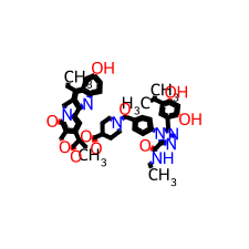 CCNC(=O)c1nnc(-c2cc(C(C)C)c(O)cc2O)n1-c1ccc(C(=O)N2CCC(C(=O)OC3(CC)C(=O)OCc4c3cc3n(c4=O)Cc4c-3nc3ccc(O)cc3c4CC)CC2)cc1